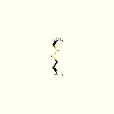 C=CCSSC=C